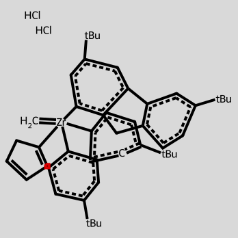 Cl.Cl.[CH2]=[Zr]([C]1=CC=CC1)([c]1ccc(C(C)(C)C)cc1)([c]1ccc(C(C)(C)C)cc1)[c]1cc(C(C)(C)C)cc2c1Cc1ccc(C(C)(C)C)cc1-2